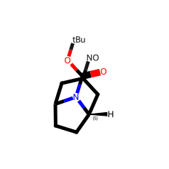 CC(C)(C)OC(=O)N1C2CC[C@H]1CC(N=O)C2